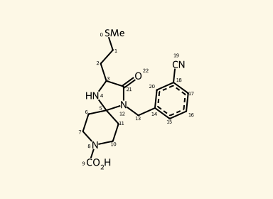 CSCCC1NC2(CCN(C(=O)O)CC2)N(Cc2cccc(C#N)c2)C1=O